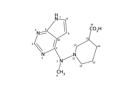 CN(c1ncnc2[nH]ccc12)N1CCCC(C(=O)O)C1